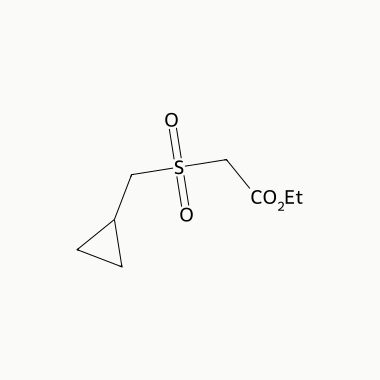 CCOC(=O)CS(=O)(=O)CC1CC1